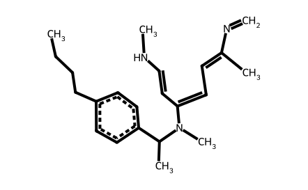 C=N/C(C)=C/C=C(\C=C\NC)N(C)C(C)c1ccc(CCCC)cc1